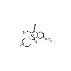 C#CN(CCBr)c1ccc([N+](=O)[O-])cc1S(=O)(=O)C1CCCN(C)CCC1